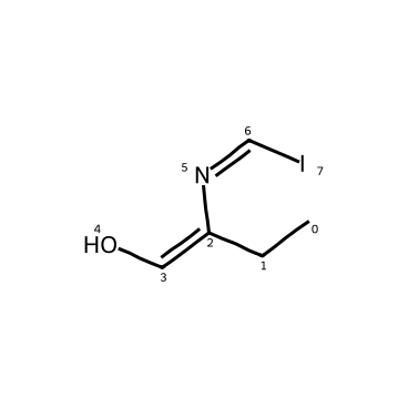 CCC(=C/O)/N=C\I